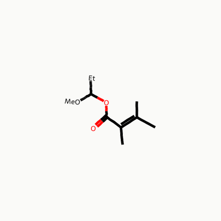 CCC(OC)OC(=O)C(C)=C(C)C